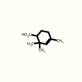 CC1=CC(C)(C)C(C(=O)O)CC1